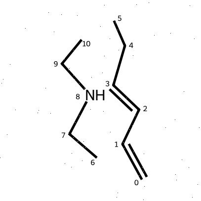 C=CC=CCC.CCNCC